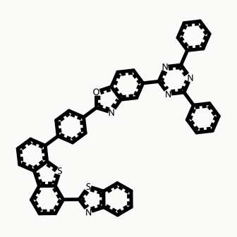 c1ccc(-c2nc(-c3ccccc3)nc(-c3ccc4oc(-c5ccc(-c6cccc7c6sc6c(-c8nc9ccccc9s8)cccc67)cc5)nc4c3)n2)cc1